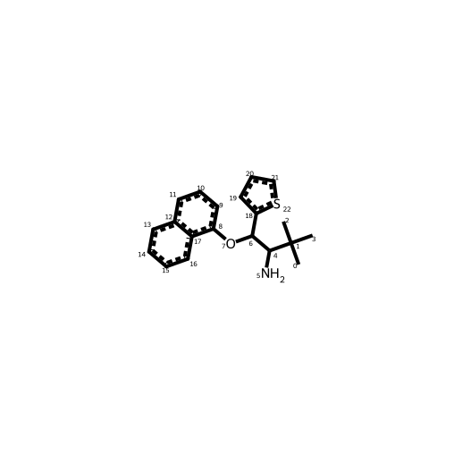 CC(C)(C)C(N)C(Oc1cccc2ccccc12)c1cccs1